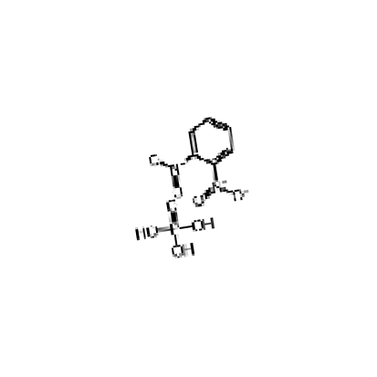 O=P(O)(O)O.O=[N+]([O-])c1ccccc1[N+](=O)[O-]